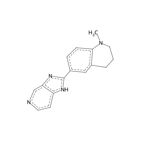 CN1CCCc2cc(-c3nc4cnccc4[nH]3)ccc21